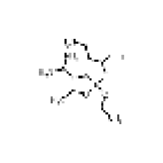 CC[O][Ti]([CH2]CC(N)N)([O]CC)[O]C(C)CCN